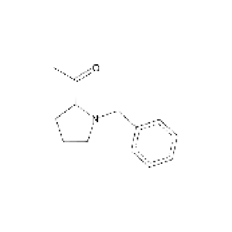 CC(=O)C1CCCN1Cc1ccccc1